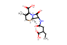 CCC(CC(=O)NC1C(=O)N2C(C(=O)O)=C(C)CS[C@H]12)C(=O)O